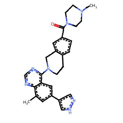 Cc1cc(-c2cn[nH]c2)cc2c(N3CCc4ccc(C(=O)N5CCN(C)CC5)cc4C3)ncnc12